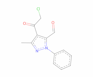 Cc1nn(-c2ccccc2)c(C=O)c1C(=O)CCl